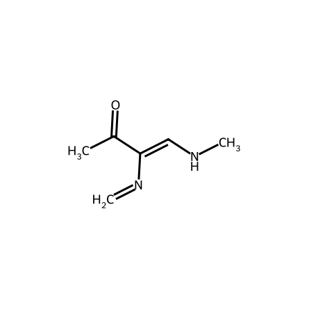 C=N/C(=C\NC)C(C)=O